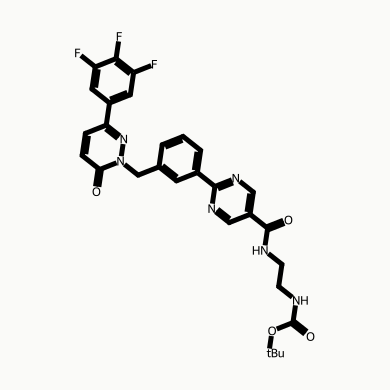 CC(C)(C)OC(=O)NCCNC(=O)c1cnc(-c2cccc(Cn3nc(-c4cc(F)c(F)c(F)c4)ccc3=O)c2)nc1